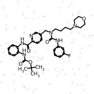 CC(C)(C)OC(=O)Nc1ccccc1NC(=O)c1ccc(CN(CCCCN2CCOCC2)C(=O)Nc2cccc(F)c2)cn1